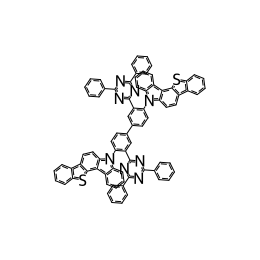 c1ccc(-c2nc(-c3ccccc3)nc(-c3cc(-c4ccc(-n5c6ccccc6c6c7sc8ccccc8c7ccc65)c(-c5nc(-c6ccccc6)nc(-c6ccccc6)n5)c4)ccc3-n3c4ccccc4c4c5sc6ccccc6c5ccc43)n2)cc1